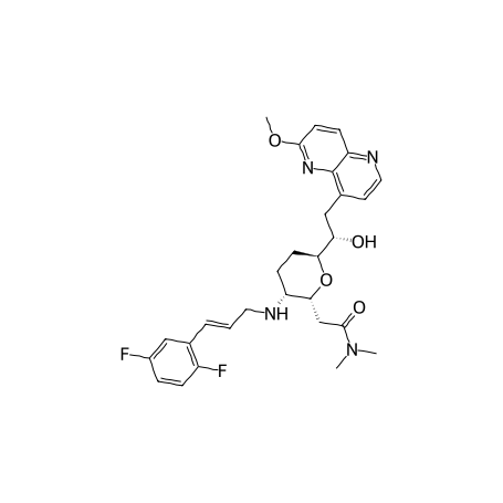 COc1ccc2nccc(C[C@H](O)[C@@H]3CC[C@@H](NC/C=C/c4cc(F)ccc4F)[C@@H](CC(=O)N(C)C)O3)c2n1